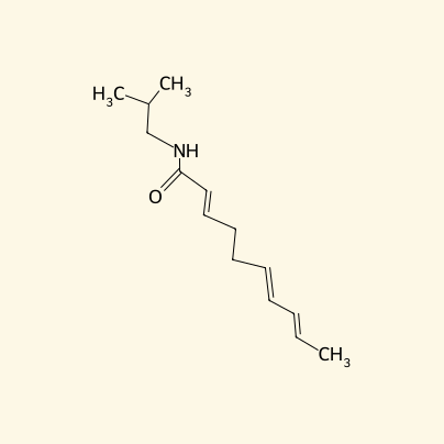 C/C=C/C=CCC/C=C/C(=O)NCC(C)C